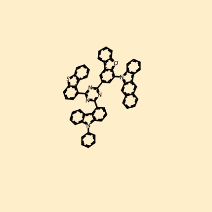 c1ccc(-n2c3ccccc3c3c(-c4nc(-c5cc(-n6c7ccccc7c7cc8ccccc8cc76)c6oc7ccccc7c6c5)nc(-c5cccc6sc7ccccc7c56)n4)cccc32)cc1